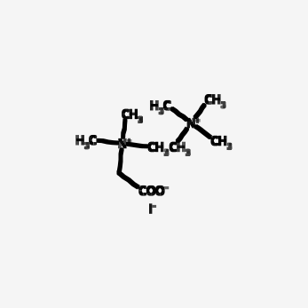 C[N+](C)(C)C.C[N+](C)(C)CC(=O)[O-].[I-]